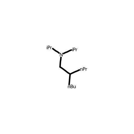 CCCCC(CCC)CN(C(C)C)C(C)C